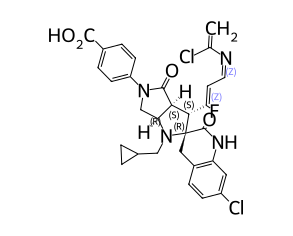 C=C(Cl)/N=C\C=C(/F)[C@H]1[C@@H]2C(=O)N(c3ccc(C(=O)O)cc3)C[C@@H]2N(CC2CC2)[C@]12Cc1ccc(Cl)cc1NC2=O